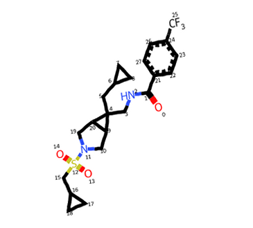 O=C(NCC1(CC2CC2)C2CN(S(=O)(=O)CC3CC3)CC21)c1ccc(C(F)(F)F)cc1